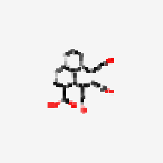 O=C=c1c(=C=O)c2cccc3ccc(C(=O)O)c(c1=C=O)c32